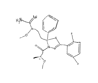 CO[C@@H](C)C(=O)N1N=C(c2cc(F)ccc2F)SC1(CCN(OC)C(=N)N)c1ccccc1